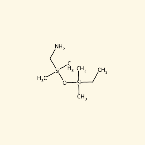 CC[Si](C)(C)O[Si](C)(C)CN